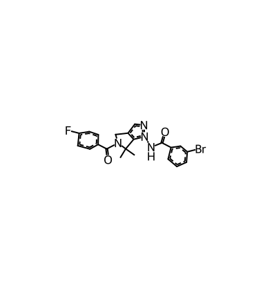 CC1(C)c2c(cnn2NC(=O)c2cccc(Br)c2)CN1C(=O)c1ccc(F)cc1